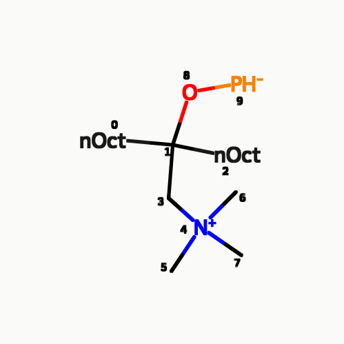 CCCCCCCCC(CCCCCCCC)(C[N+](C)(C)C)O[PH-]